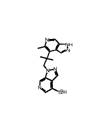 Cc1ncc2[nH]ncc2c1C(C)(C)Cn1ncc2c(C(C)(C)C)cncc21